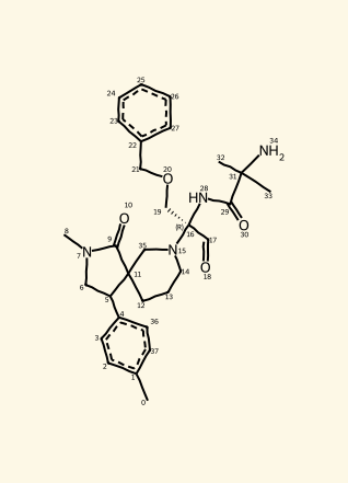 Cc1ccc(C2CN(C)C(=O)C23CCCN([C@@](C=O)(COCc2ccccc2)NC(=O)C(C)(C)N)C3)cc1